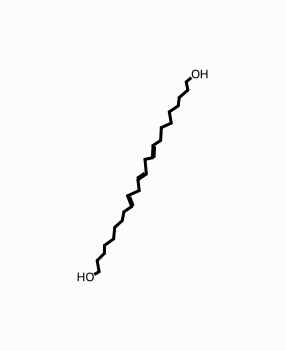 OCCCCCCCCC=CCC=CCC=CCCCCCCCCO